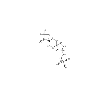 CC(C)(C)C(=O)N1CCC2(CCN(CCC(F)(F)F)C2)CC1